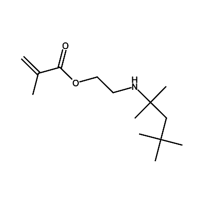 C=C(C)C(=O)OCCNC(C)(C)CC(C)(C)C